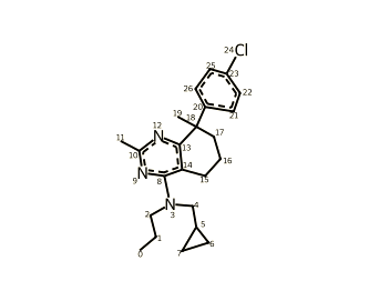 CCCN(CC1CC1)c1nc(C)nc2c1CCCC2(C)c1ccc(Cl)cc1